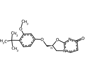 COc1cc(OC[C@@H]2Cn3ccc(=O)nc3O2)ccc1C(C)(C)C